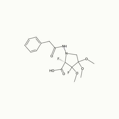 COC1(OC)CN(NC(=O)Cc2ccccc2)[C@](F)(C(=O)O)C1(F)OC